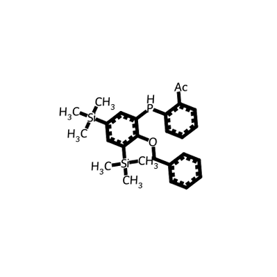 CC(=O)c1ccccc1Pc1cc([Si](C)(C)C)cc([Si](C)(C)C)c1OCc1ccccc1